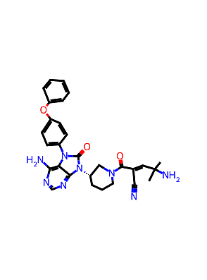 CC(C)(N)C=C(C#N)C(=O)N1CCC[C@H](n2c(=O)n(-c3ccc(Oc4ccccc4)cc3)c3c(N)ncnc32)C1